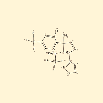 NC1(c2c(Cl)cc(C(F)(F)F)cc2Cl)N=NC(c2ncon2)=C1[S+]([O-])C(F)(F)F